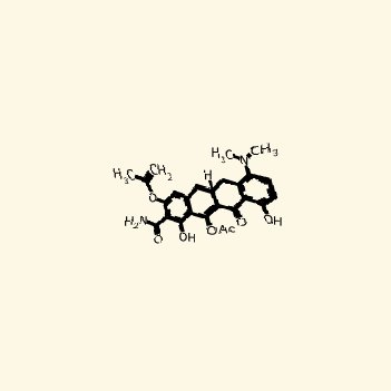 C=C(C)Oc1cc2c(c(O)c1C(N)=O)C(OC(C)=O)=C1C(=O)c3c(O)ccc(N(C)C)c3C[C@H]1C2